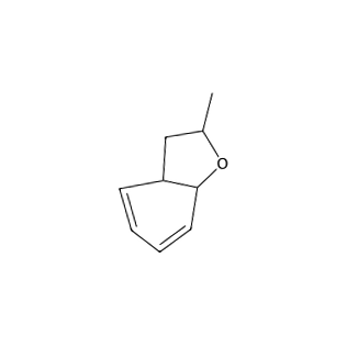 CC1CC2C=CC=CC2O1